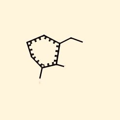 CC(C)c1cccc([CH]O)c1F